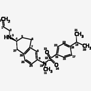 C=CCN[C@H]1CCc2cc(N(C)S(=O)(=O)c3ccc(C(C)C)cc3)ccc2C1